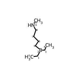 CCB(CC)CCCCNC